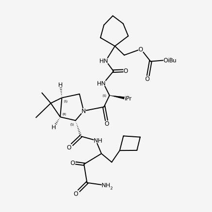 CC(C)COC(=O)OCC1(NC(=O)N[C@H](C(=O)N2C[C@H]3[C@@H]([C@H]2C(=O)NC(CC2CCC2)C(=O)C(N)=O)C3(C)C)C(C)C)CCCCC1